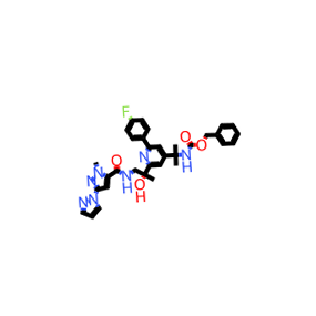 Cn1nc(-n2cccn2)cc1C(=O)NCC(C)(O)c1cc(C(C)(C)NC(=O)OCc2ccccc2)cc(-c2ccc(F)cc2)n1